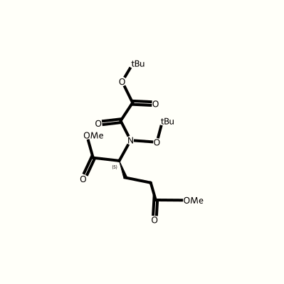 COC(=O)CC[C@@H](C(=O)OC)N(OC(C)(C)C)C(=O)C(=O)OC(C)(C)C